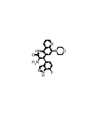 Nc1c(-c2ccc(F)c3[nH]ncc23)c2cc(N3CCOCC3)c3ncccc3c2[nH]c1=O